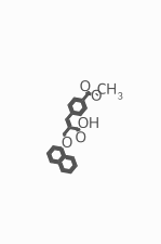 COC(=O)c1ccc(C=C(COc2cccc3ccccc23)C(=O)O)cc1